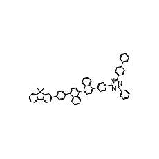 CC1(C)c2ccccc2-c2ccc(-c3ccc(-c4ccc(-c5ccc(-c6ccc(-c7nc(-c8ccccc8)nc(-c8ccc(-c9ccccc9)cc8)n7)cc6)c6ccccc56)c5ccccc45)cc3)cc21